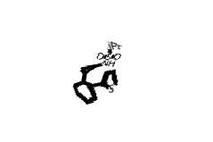 CC(C)S(=O)(=O)NC1CC1c1ccccc1-c1cccs1